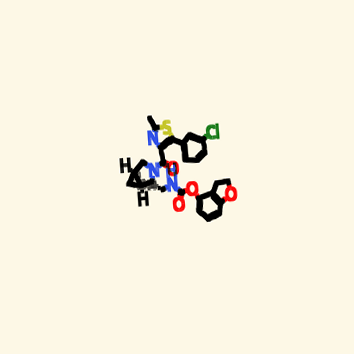 Cc1nc(C(=O)N2C[C@@H]3C[C@@H]3[C@H]2CNC(=O)Oc2cccc3c2CCO3)c(-c2cccc(Cl)c2)s1